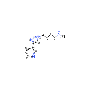 CCNCCCCn1cnc(-c2cccnc2)c1